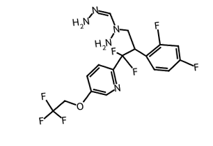 N/N=C\N(N)CC(c1ccc(F)cc1F)C(F)(F)c1ccc(OCC(F)(F)F)cn1